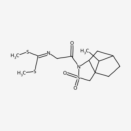 CSC(=NCC(=O)N1C2CC3CCC2(CS1(=O)=O)C3C)SC